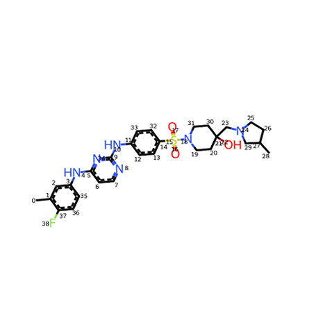 Cc1cc(Nc2ccnc(Nc3ccc(S(=O)(=O)N4CCC(O)(CN5CCC(C)C5)CC4)cc3)n2)ccc1F